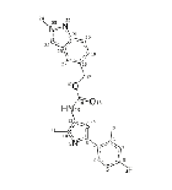 Cc1cc(F)ccc1-c1nc(C)c(NC(=O)OCc2ccc3nn(C)cc3c2)s1